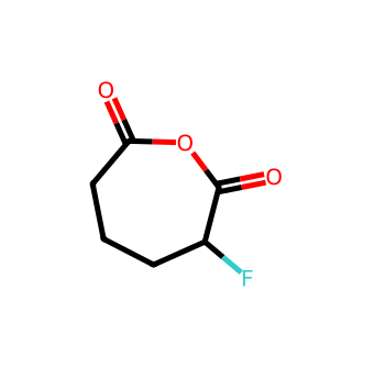 O=C1CCCC(F)C(=O)O1